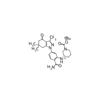 CC1(C)CC(=O)c2c(C(F)(F)F)nn(-c3ccc(C(N)=O)c(N[C@H]4CCCN(C(=O)OC(C)(C)C)C4)c3)c2C1